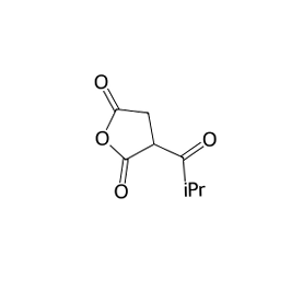 CC(C)C(=O)C1CC(=O)OC1=O